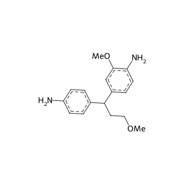 COCCC(c1ccc(N)cc1)c1ccc(N)c(OC)c1